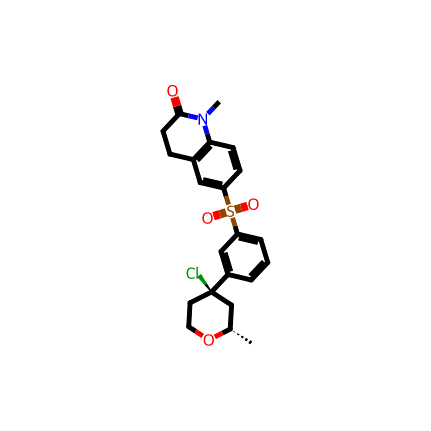 C[C@H]1C[C@@](Cl)(c2cccc(S(=O)(=O)c3ccc4c(c3)CCC(=O)N4C)c2)CCO1